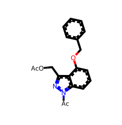 CC(=O)OCc1nn(C(C)=O)c2cccc(OCc3ccccc3)c12